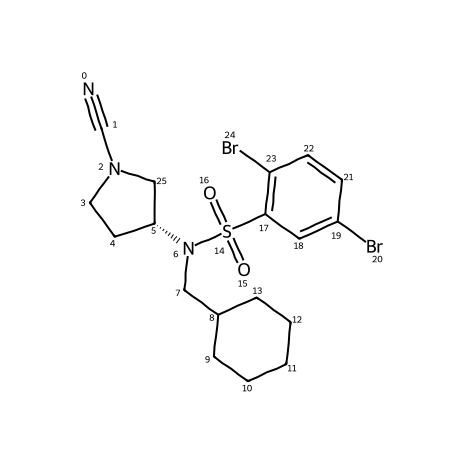 N#CN1CC[C@@H](N(CC2CCCCC2)S(=O)(=O)c2cc(Br)ccc2Br)C1